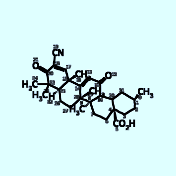 C[C@H]1CC[C@]2(C(=O)O)CC[C@]3(C)C(C(=O)C=C4[C@@]5(C)C=C(C#N)C(=O)C(C)(C)[C@@H]5CC[C@]43C)C2C1